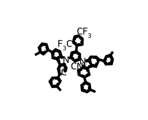 Cc1cccc(-c2ccc3c(c2)c2cc(-c4cccc(C)c4)ccc2n3-c2cc(-c3ccc(C(F)(F)F)cc3C(F)(F)F)cc(-n3c4ccc(-c5cccc(C)c5)cc4c4cc(-c5cccc(C)c5)ccc43)c2C#N)c1